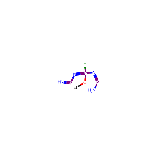 CCOP(F)(=NP=N)/N=P\N